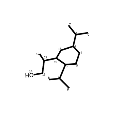 CC(C)C1CCC(C(C)C)C(C(C)CO)C1